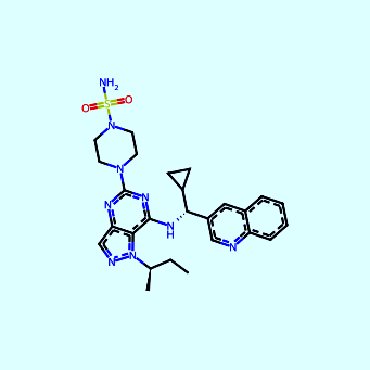 CC[C@@H](C)n1ncc2nc(N3CCN(S(N)(=O)=O)CC3)nc(N[C@@H](c3cnc4ccccc4c3)C3CC3)c21